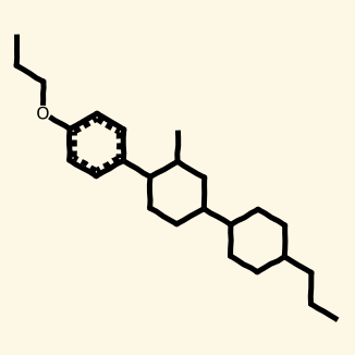 CCCOc1ccc(C2CCC(C3CCC(CCC)CC3)CC2C)cc1